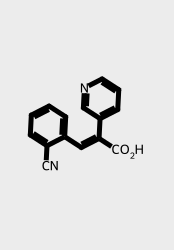 N#Cc1ccccc1C=C(C(=O)O)c1cccnc1